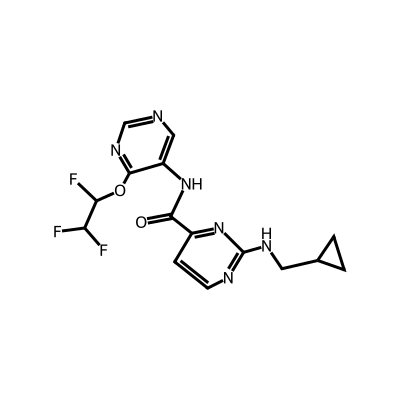 O=C(Nc1cncnc1OC(F)C(F)F)c1ccnc(NCC2CC2)n1